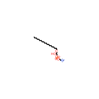 CCCCCCCCCCCCCCCCCC/C=C\OC[C@@H](O)COP(=O)([O-])OCC[N+](C)(C)C